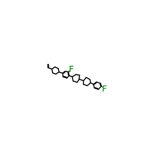 C=CC1CCC(c2ccc(C3CCC(C4CCC(c5ccc(F)cc5)CC4)CC3)c(F)c2)CC1